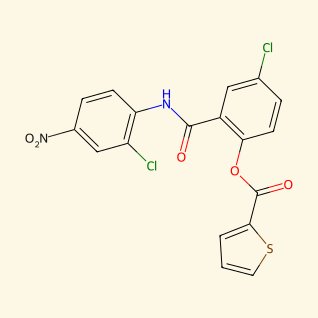 O=C(Oc1ccc(Cl)cc1C(=O)Nc1ccc([N+](=O)[O-])cc1Cl)c1cccs1